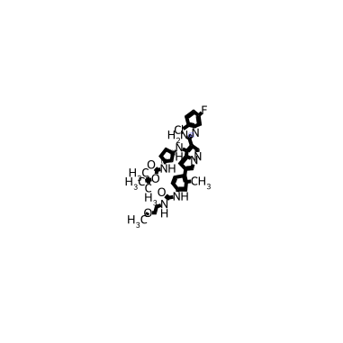 COCCNC(=O)Nc1ccc(-c2cc3c(N[C@@H]4CC[C@H](NC(=O)OC(C)(C)C)C4)c(/C(N)=N/c4cc(F)ccc4Cl)cnn3c2)c(C)c1